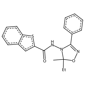 CCC1(C)ON=C(c2ccccc2)N1NC(=O)c1cc2ccccc2s1